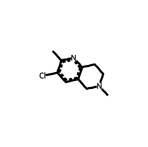 Cc1nc2c(cc1Cl)CN(C)CC2